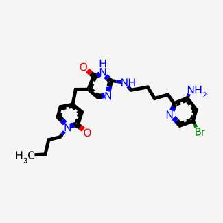 CCCCn1ccc(Cc2cnc(NCCCCc3ncc(Br)cc3N)[nH]c2=O)cc1=O